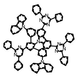 c1ccc(-c2cc(-c3cc(-c4cccc(-n5c6ccccc6c6ccccc65)c4)c(-n4c5ccc(-c6nc(-c7ccccc7)nc(-c7ccccc7)n6)cc5c5cc(-c6nc(-c7ccccc7)nc(-c7ccccc7)n6)ccc54)c(-c4cccc(-n5c6ccccc6c6ccccc65)c4)c3)nc(-c3ccccc3)n2)cc1